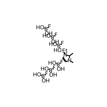 CCN1C=CN(C)C1C.OB(O)F.OB(O)F.OB(O)F.OB(O)F.OB(O)F.OB(O)F